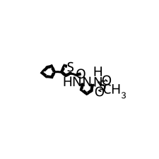 CS(=O)(=O)Nc1cccc(NC(=O)c2cc(-c3ccccc3)cs2)n1